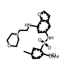 COc1ccc(C)cc1S(=O)(=O)Nc1cc(NCCN2CCOCC2)c2occc2c1.Cl